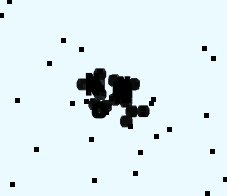 C1=CCC(c2nc(-c3ccccc3)nc(-c3cccc(-c4cccc5oc6ccc(-c7ccc8c(c7)c7cc(-c9cc(-c%10ccccc%10)cc(-c%10ccccc%10)c9)ccc7n8-c7nc(-c8ccccc8)nc(-c8ccccc8)n7)cc6c45)c3)n2)C=C1